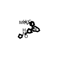 C=CCN1CCC2CCCC(C1)N2C(c1ccc(C(=O)NC2CCCC2)cc1)c1cccc(OC)c1